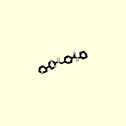 O=C(Nc1ccccc1)c1ccc(CNc2ncc(-c3cccnc3)cn2)cc1